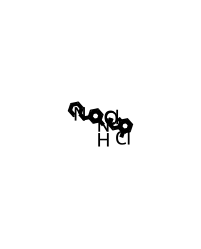 O=C(Cc1c(Cl)cccc1Cl)Nc1cccc(CN2CCCCC2)c1